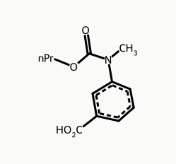 CCCOC(=O)N(C)c1cccc(C(=O)O)c1